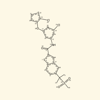 CC(C)(c1ccc2sc(C(=O)Nc3cc(Cl)nc(Oc4ccsc4Cl)c3)cc2c1)S(C)(=O)=O